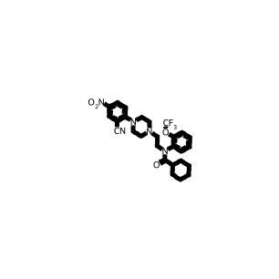 N#Cc1cc([N+](=O)[O-])ccc1N1CCN(CCN(C(=O)C2CCCCC2)c2ccccc2OC(F)(F)F)CC1